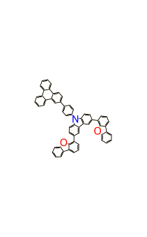 c1ccc2c(c1)oc1c(-c3ccc4c(c3)c3cc(-c5cccc6c5oc5ccccc56)ccc3n4-c3ccc(-c4ccc5c6ccccc6c6ccccc6c5c4)cc3)cccc12